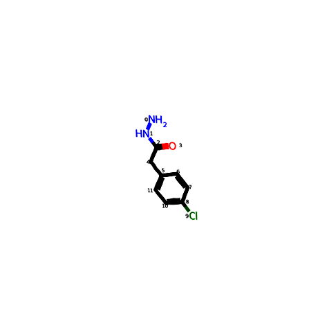 NNC(=O)Cc1ccc(Cl)cc1